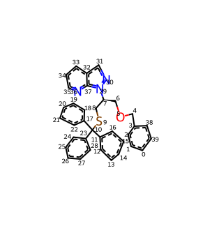 c1ccc(COC[C@@H](CSC(c2ccccc2)(c2ccccc2)c2ccccc2)n2ncc3cccnc32)cc1